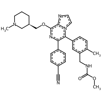 COC(=O)NCc1cc(-c2c(-c3ccc(C#N)cc3)nc(OC[C@@H]3CCCN(C)C3)c3nccn23)ccc1C